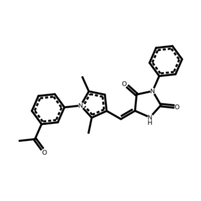 CC(=O)c1cccc(-n2c(C)cc(C=C3NC(=O)N(c4ccccc4)C3=O)c2C)c1